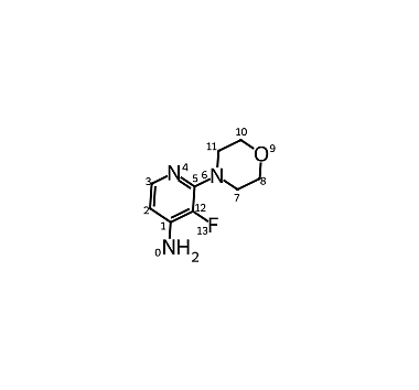 Nc1ccnc(N2CCOCC2)c1F